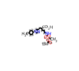 CC(OC(=O)NCCCC(Cc1cn([C@H]2CC[C@H](C)CC2)cn1)C(=O)O)OC(=O)C(C)(C)C